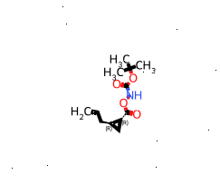 C=CC[C@@H]1C[C@H]1C(=O)ONC(=O)OC(C)(C)C